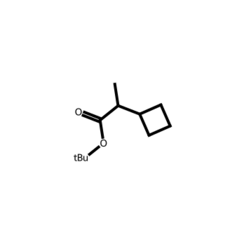 CC(C(=O)OC(C)(C)C)C1CCC1